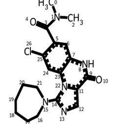 CN(C)C(=O)c1cc2[nH]c(=O)c3cnc(N4CCCCCC4)n3c2cc1Cl